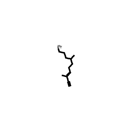 C#C/C(C)=C/CCC(C)CCCC(C)C